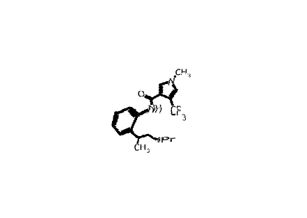 CC(C)C[C@@H](C)c1ccccc1NC(=O)c1cn(C)cc1C(F)(F)F